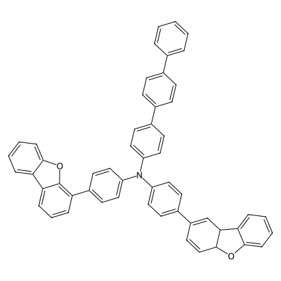 C1=CC2Oc3ccccc3C2C=C1c1ccc(N(c2ccc(-c3ccc(-c4ccccc4)cc3)cc2)c2ccc(-c3cccc4c3oc3ccccc34)cc2)cc1